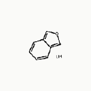 [LiH].[c]1occ2ccccc12